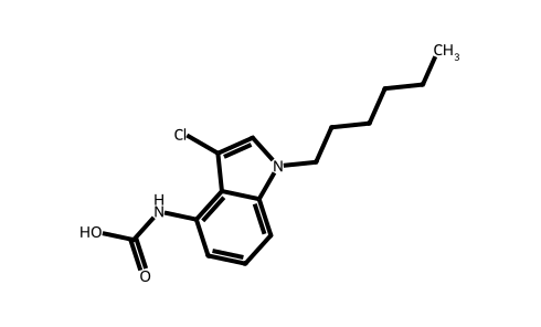 CCCCCCn1cc(Cl)c2c(NC(=O)O)cccc21